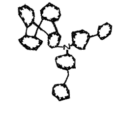 c1ccc(-c2ccc(N(c3ccc(-c4ccccc4)cc3)c3ccc4c(c3)-c3ccccc3C43c4ccccc4-c4ccccc43)cc2)cc1